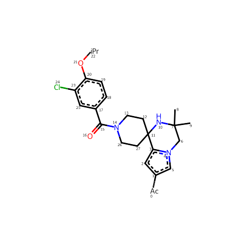 CC(=O)c1cc2n(c1)CC(C)(C)NC21CCN(C(=O)c2ccc(OC(C)C)c(Cl)c2)CC1